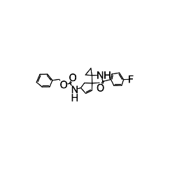 CC1(C2(NC(=O)c3ccc(F)cc3)CC2)C=CC(NC(=O)OCc2ccccc2)C1